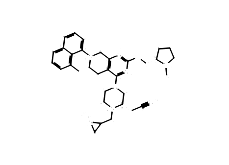 Cc1cccc2cccc(N3CCc4c(nc(OC[C@@H]5CCCN5C)nc4N4CCN(CC5C[N@]5C)[C@@H](CC#N)C4)C3)c12